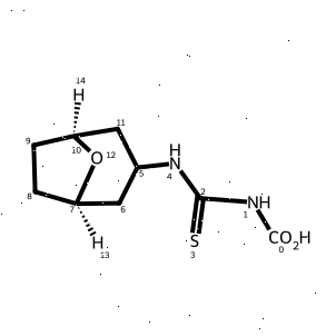 O=C(O)NC(=S)NC1C[C@H]2CC[C@@H](C1)O2